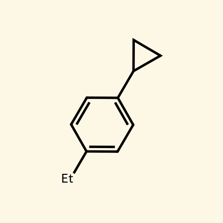 CCc1ccc(C2CC2)cc1